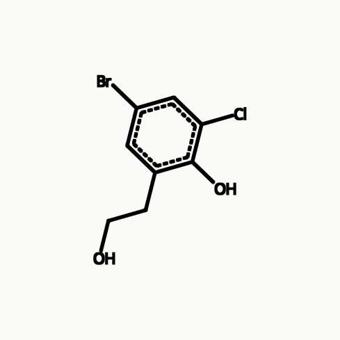 OCCc1cc(Br)cc(Cl)c1O